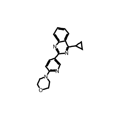 c1ccc2c(C3CC3)nc(-c3ccc(N4CCOCC4)nc3)nc2c1